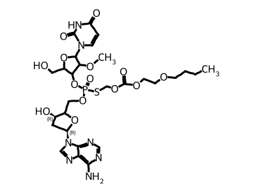 CCCCOCCOC(=O)OCSP(=O)(OCC1O[C@@H](n2cnc3c(N)ncnc32)C[C@H]1O)OC1C(CO)OC(n2ccc(=O)[nH]c2=O)C1OC